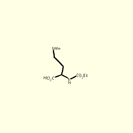 CCOC(=O)NC(CCSC)C(=O)O